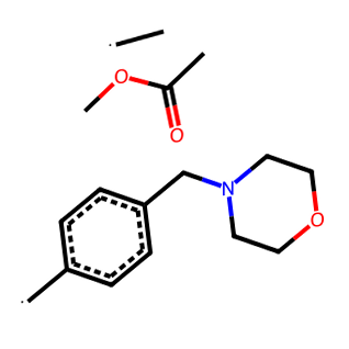 COC(C)=O.[CH2]C.[CH2]c1ccc(CN2CCOCC2)cc1